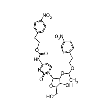 CC(OCCc1ccc([N+](=O)[O-])cc1)OC1C(O)[C@@H](CO)O[C@H]1n1ccc(NC(=O)OCCc2ccc([N+](=O)[O-])cc2)nc1=O